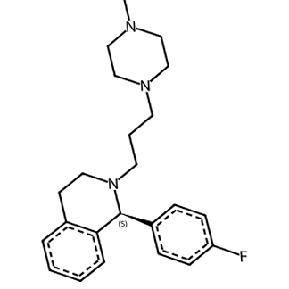 CN1CCN(CCCN2CCc3ccccc3[C@@H]2c2ccc(F)cc2)CC1